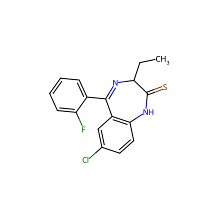 CCC1N=C(c2ccccc2F)c2cc(Cl)ccc2NC1=S